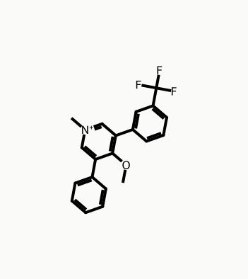 COc1c(-c2ccccc2)c[n+](C)cc1-c1cccc(C(F)(F)F)c1